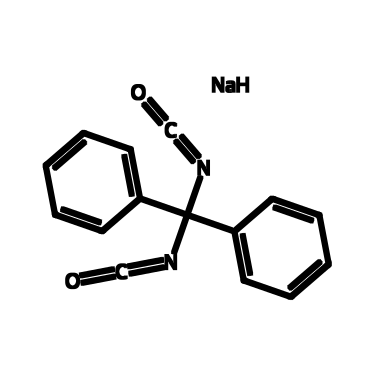 O=C=NC(N=C=O)(c1ccccc1)c1ccccc1.[NaH]